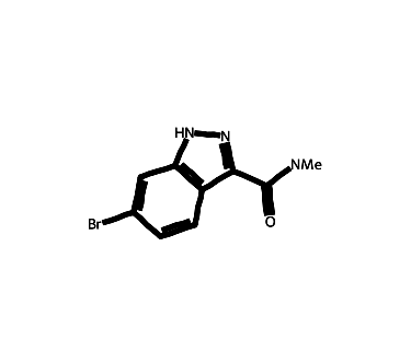 CNC(=O)c1n[nH]c2cc(Br)ccc12